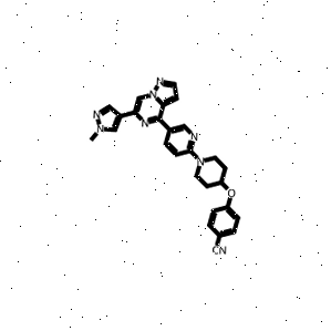 Cn1cc(-c2cn3nccc3c(-c3ccc(N4CCC(Oc5ccc(C#N)cc5)CC4)nc3)n2)cn1